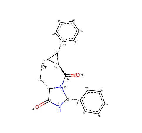 CC(C)C[C@H]1C(=O)N[C@@H](c2ccccc2)N1C(=O)[C@H]1C[C@@H]1c1ccccc1